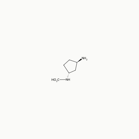 N[C@@H]1CC[C@@H](NC(=O)O)C1